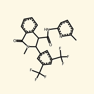 Cc1cccc(NC(=O)C2c3ccccc3C(=O)N(C)C2c2cc(C(F)(F)F)cc(C(F)(F)F)c2)n1